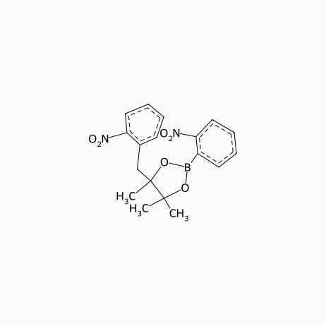 CC1(C)OB(c2ccccc2[N+](=O)[O-])OC1(C)Cc1ccccc1[N+](=O)[O-]